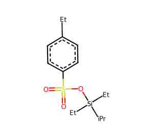 CCc1ccc(S(=O)(=O)O[Si](CC)(CC)C(C)C)cc1